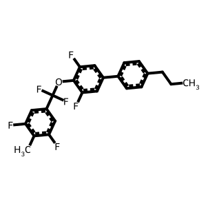 CCCc1ccc(-c2cc(F)c(OC(F)(F)c3cc(F)c(C)c(F)c3)c(F)c2)cc1